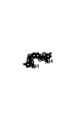 Cc1ccc(N=N)c(S(=O)(=O)OS(=O)(=O)c2ccc3ccc(S(=O)(=O)OS(=O)(=O)c4cc(C)ccc4N=N)cc3c2)c1